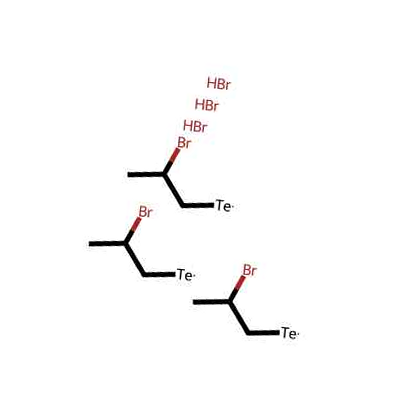 Br.Br.Br.CC(Br)C[Te].CC(Br)C[Te].CC(Br)C[Te]